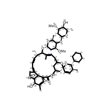 CO[C@H]1C[C@H](OC2/C(C)=C/C[C@@H]3C[C@@H](C[C@]4(C=C[C@H](C)[C@@H](C5CCCCC5)O4)O3)OC(=O)[C@@H]3C=C(C)[C@@H](O)[C@H]4OCC(=CC=C[C@@H]2C)[C@]43O)O[C@@H](C)C1O[C@H]1C[C@H](OC)[C@@H](O)[C@H](C)O1